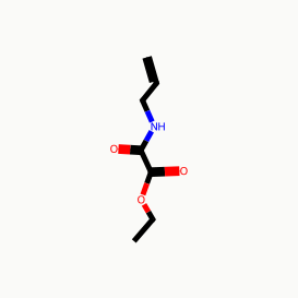 C=CCNC(=O)C(=O)OCC